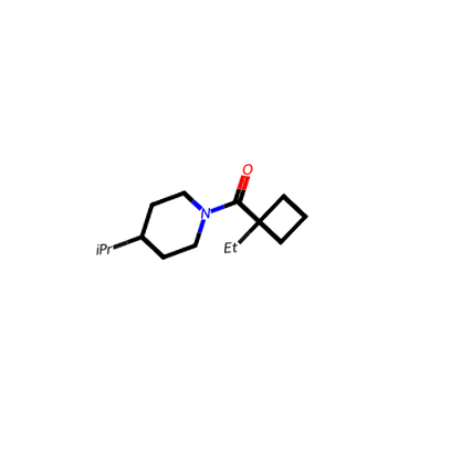 CCC1(C(=O)N2CCC(C(C)C)CC2)CCC1